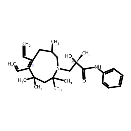 C=C/C1=C(\C=C)C(C)(C)CC(C)(C)N(C[C@](C)(O)C(=O)Nc2ccccc2)CC(C)C1